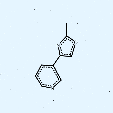 Cc1nc(-c2cccnc2)co1